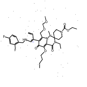 C=C/C(=C\NCc1ccc(F)cc1F)c1c(COCOC)n2c(c(OCCCC)c1=O)C(=O)N(CC)C1(CCN(C(=O)OCC)CC1)N2C